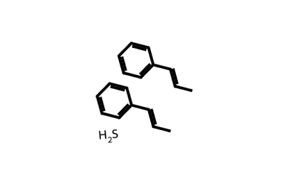 CC=Cc1ccccc1.CC=Cc1ccccc1.S